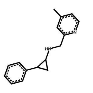 Cc1ccnc(CNC2CC2c2ccccc2)c1